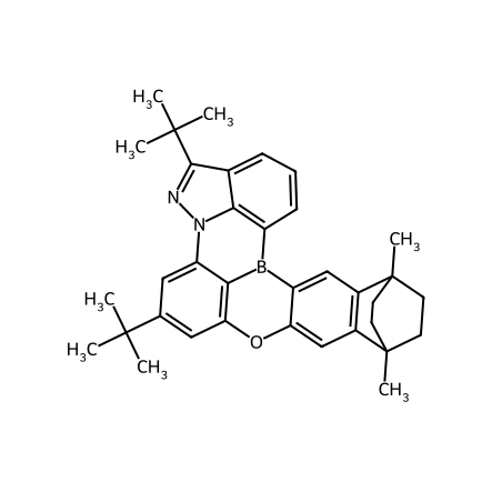 CC(C)(C)c1cc2c3c(c1)-n1nc(C(C)(C)C)c4cccc(c41)B3c1cc3c(cc1O2)C1(C)CCC3(C)CC1